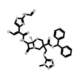 Cn1nnnc1SCC1(C(=O)OC(c2ccccc2)c2ccccc2)CS[C@@H]2C(NC(=O)C(=CCl)c3csc(NC=O)n3)C(=O)N2C1